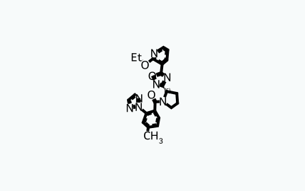 CCOc1ncccc1-c1nc([C@@H]2CCCN2C(=O)c2ccc(C)cc2-n2nccn2)no1